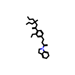 C=C(CC(C)(CCC)CCC)c1ccc(CCC(=C)N2CCC3=CCCC=C32)cc1CC